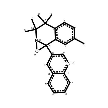 Cc1ccc2c(c1)C1(c3cnc4ccccc4c3)ON1C(C)(C)C2(C)C